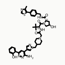 Cc1ncsc1-c1ccc(CNC(=O)[C@@H]2C[C@@H](O)CN2C(=O)[C@@H](NC(=O)CN2CCC(Cn3cc(-c4cc(-c5ccccc5O)nnc4N)cn3)CC2)C(C)(C)C)cc1